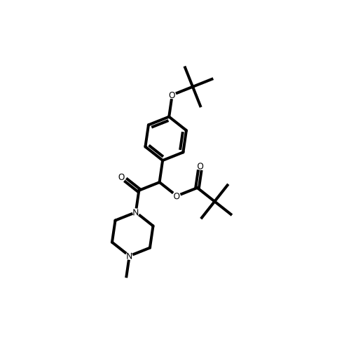 CN1CCN(C(=O)C(OC(=O)C(C)(C)C)c2ccc(OC(C)(C)C)cc2)CC1